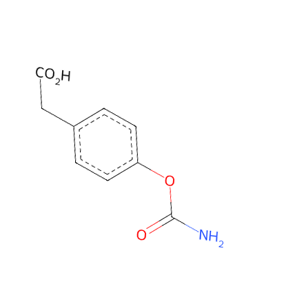 NC(=O)Oc1ccc(CC(=O)O)cc1